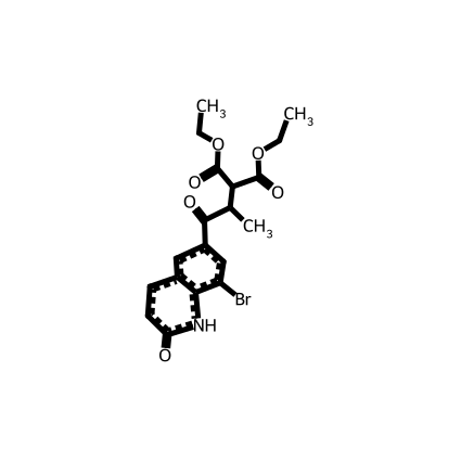 CCOC(=O)C(C(=O)OCC)C(C)C(=O)c1cc(Br)c2[nH]c(=O)ccc2c1